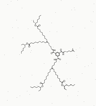 CCCCCC(CC)OC(=O)CCCCCCCCN(CCCCCCCCC(=O)OC(CC)CCCCC)CCCCNC(=O)c1cc(C(=O)NCCCCN(C)C)cc(C(=O)NCCCCN(CCCCCCCCC(=O)OC(CC)CCCCC)CCCCCCCCC(=O)OC(CC)CCCCC)c1